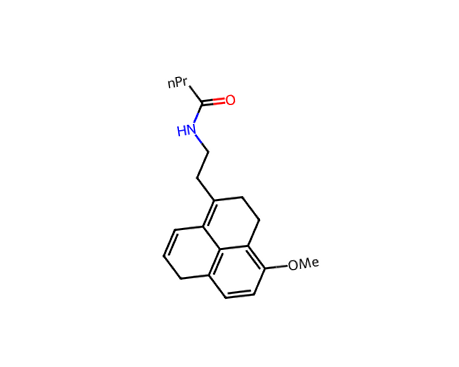 CCCC(=O)NCCC1=C2C=CCc3ccc(OC)c(c32)CC1